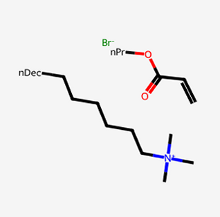 C=CC(=O)OCCC.CCCCCCCCCCCCCCCC[N+](C)(C)C.[Br-]